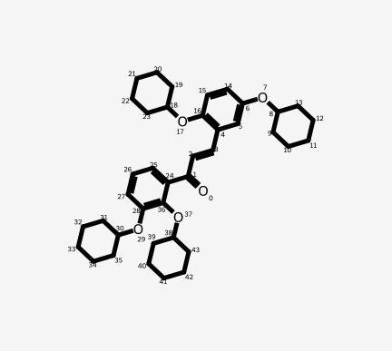 O=C(C=Cc1cc(OC2CCCCC2)ccc1OC1CCCCC1)c1cccc(OC2CCCCC2)c1OC1CCCCC1